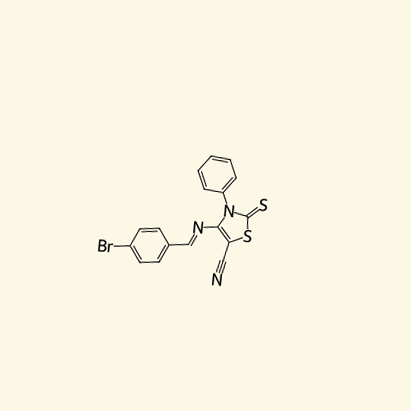 N#Cc1sc(=S)n(-c2ccccc2)c1N=Cc1ccc(Br)cc1